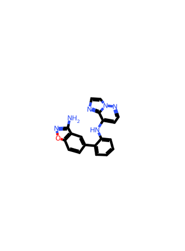 Nc1noc2ccc(-c3ccccc3Nc3ccnn4ccnc34)cc12